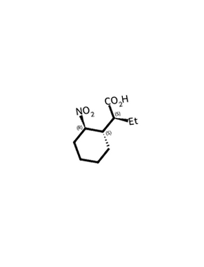 CC[C@H](C(=O)O)[C@@H]1CCCC[C@H]1[N+](=O)[O-]